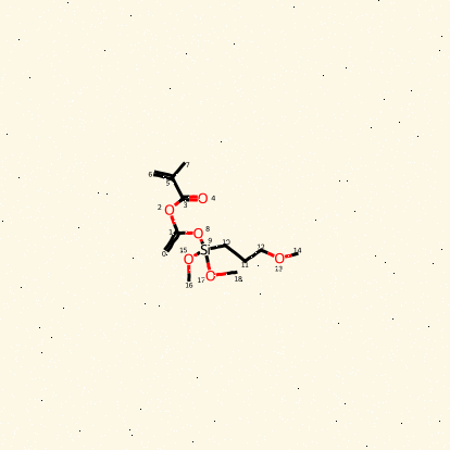 C=C(OC(=O)C(=C)C)O[Si](CCCOC)(OC)OC